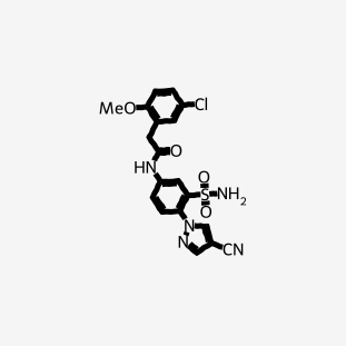 COc1ccc(Cl)cc1CC(=O)Nc1ccc(-n2cc(C#N)cn2)c(S(N)(=O)=O)c1